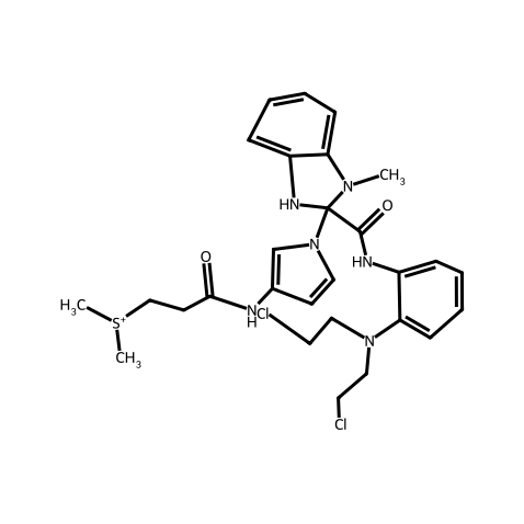 CN1c2ccccc2NC1(C(=O)Nc1ccccc1N(CCCl)CCCl)n1ccc(NC(=O)CC[S+](C)C)c1